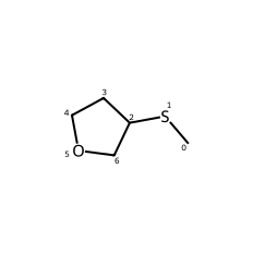 CSC1CCOC1